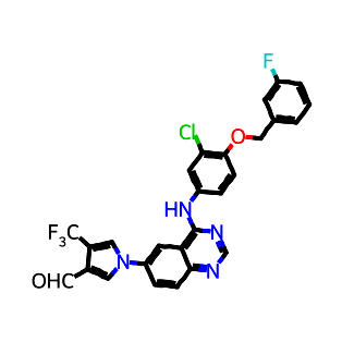 O=Cc1cn(-c2ccc3ncnc(Nc4ccc(OCc5cccc(F)c5)c(Cl)c4)c3c2)cc1C(F)(F)F